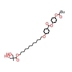 CCC(C)C(=O)Oc1ccc(OC(=O)c2ccc(OCCCCCCCCCCCCOC(=O)C(C)(CO)CO)cc2)cc1